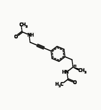 CC(=O)NCC#Cc1ccc(C[C@@H](C)NC(C)=O)cc1